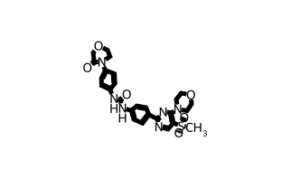 CS(=O)(=O)c1cnc(-c2ccc(NC(=O)Nc3ccc(N4CCOCC4=O)cc3)cc2)nc1N1CCOCC1